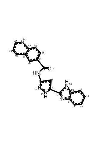 O=C(Nc1cc(-c2nc3ccccc3[nH]2)[nH]n1)c1ccc2ncccc2c1